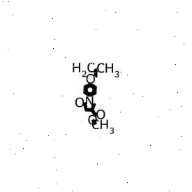 C=C(C)COc1ccc(N2CC(C(=O)OC)CC2=O)cc1